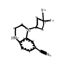 N#Cc1ccc2c(c1)N(C1CC(F)(F)C1)CCN2